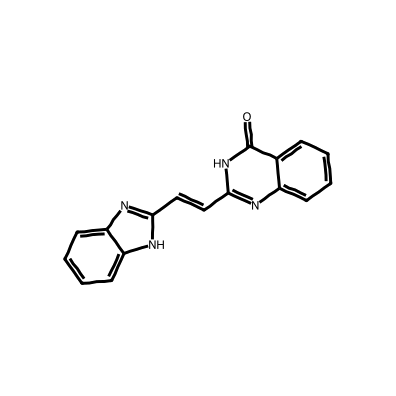 O=c1[nH]c(C=Cc2nc3ccccc3[nH]2)nc2ccccc12